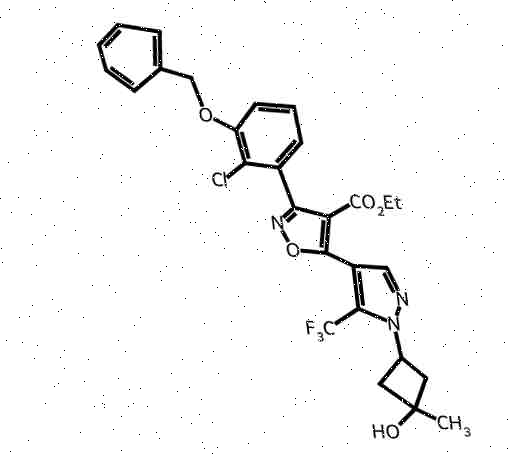 CCOC(=O)c1c(-c2cccc(OCc3ccccc3)c2Cl)noc1-c1cnn(C2CC(C)(O)C2)c1C(F)(F)F